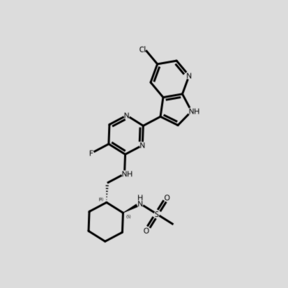 CS(=O)(=O)N[C@H]1CCCC[C@@H]1CNc1nc(-c2c[nH]c3ncc(Cl)cc23)ncc1F